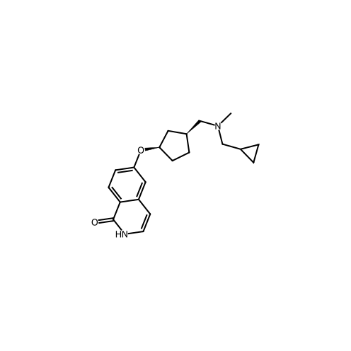 CN(CC1CC1)C[C@H]1CC[C@@H](Oc2ccc3c(=O)[nH]ccc3c2)C1